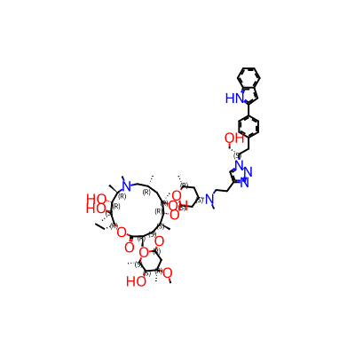 CC[C@H]1OC(=O)[C@H](C)[C@@H](O[C@H]2C[C@@](C)(OC)[C@@H](O)[C@H](C)O2)[C@H](C)[C@@H](O[C@H]2C[C@@H](N(C)CCc3cn([C@H](CO)Cc4ccc(-c5cc6ccccc6[nH]5)cc4)nn3)C[C@@H](C)O2)[C@](C)(O)C[C@@H](C)CN(C)[C@H](C)[C@@H](O)[C@]1(C)O